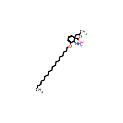 CCCCCCCCCCCCCCCCCCOC1=CC=CC(CCC)(C(=O)O)C1N